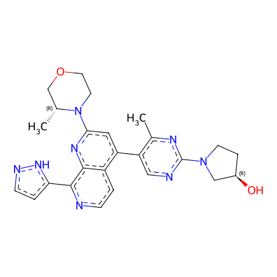 Cc1nc(N2CC[C@@H](O)C2)ncc1-c1cc(N2CCOC[C@H]2C)nc2c(-c3ccn[nH]3)nccc12